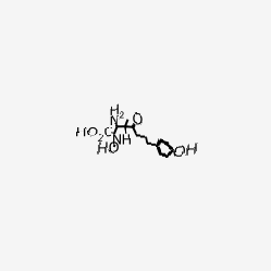 CC(C)(C(=O)CCCc1ccc(O)cc1)C(N)[C@H](NO)C(=O)O